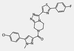 Cn1nc(C(=O)N2CCn3c(nnc3-c3csc(-c4ccc(F)cc4)n3)C2)cc1-c1ccc(Cl)cc1